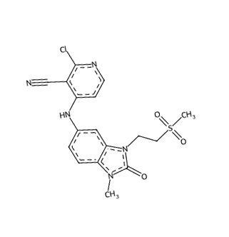 Cn1c(=O)n(CCS(C)(=O)=O)c2cc(Nc3ccnc(Cl)c3C#N)ccc21